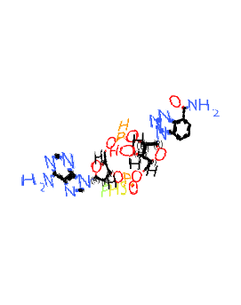 NC(=O)c1cccc2c1nnn2[C@@H]1O[C@@H]2COP(=O)(S)O[C@H]3[C@@H](F)[C@H](n4cnc5c(N)ncnc54)O[C@@H]3COPO[C@@H]1[C@@H]2O